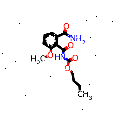 CCCCOC(=O)NC(=O)c1c(OC)cccc1C(N)=O